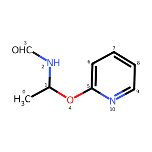 CC(NC=O)Oc1ccccn1